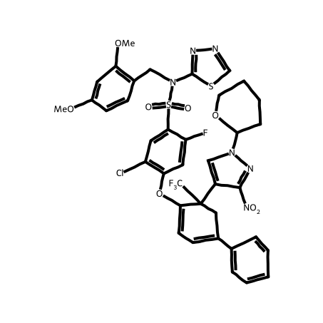 COc1ccc(CN(c2nncs2)S(=O)(=O)c2cc(Cl)c(OC3=CC=C(c4ccccc4)CC3(c3cn(C4CCCCO4)nc3[N+](=O)[O-])C(F)(F)F)cc2F)c(OC)c1